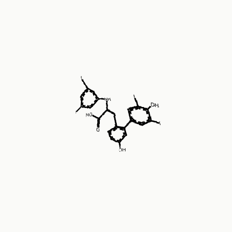 O=C(O)C(Cc1ccc(O)cc1-c1cc(I)c(O)c(I)c1)Nc1cc(I)cc(I)c1